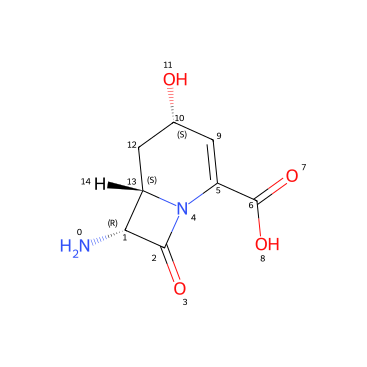 N[C@H]1C(=O)N2C(C(=O)O)=C[C@@H](O)C[C@@H]12